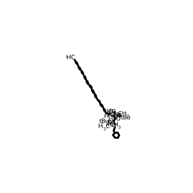 C#CC#CC#CC#CC#CC#CC#CC#CC#CC#CC#CC#CCC(=O)N[C@@H](CO)[C@H](O[Si](C)(C)C(C)(C)C)[C@@H](COCCC1CCCCC1)O[Si](C)(C)C(C)(C)C